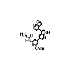 C=CC(=O)Nc1cc(-c2cnc3[nH]cc(-c4ccnc5occc45)c3c2)cc(OC)n1